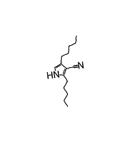 CCCCCc1c[nH]c(CCCCC)c1C#N